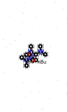 CCCCc1cc(CCCC)cc(-c2cc(-c3nc(-c4ccccc4)nc(-c4ccccc4)n3)cc(-c3cc(-c4ccccc4)nc(-c4ccccc4)n3)c2N2c3ccccc3N(c3cc(-c4ccccc4)nc(-c4ccccc4)n3)c3ccccc32)c1